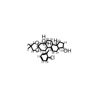 CC1(C)COC2(CC[C@]3(Cc4ccccc4Cl)C4=CC[C@]5(C)[C@@H](O)CC[C@H]5[C@@H]4CC[C@@]3(O)C2)OC1